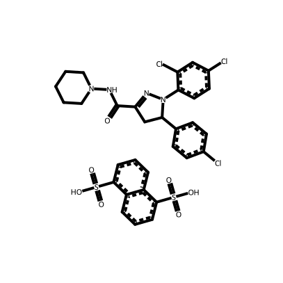 O=C(NN1CCCCC1)C1=NN(c2ccc(Cl)cc2Cl)C(c2ccc(Cl)cc2)C1.O=S(=O)(O)c1cccc2c(S(=O)(=O)O)cccc12